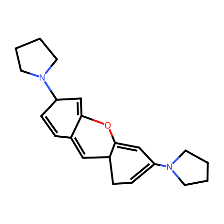 C1=CC(N2CCCC2)C=C2OC3=CC(N4CCCC4)=CCC3C=C12